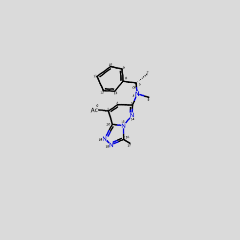 CC(=O)c1cc(N(C)[C@@H](C)c2ccccc2)nn2c(C)nnc12